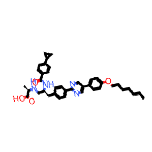 CCCCCCCOc1ccc(-c2cnc(-c3ccc(C[C@@H](CN[C@H](C)C(=O)O)NC(=O)c4ccc(C5CC5)cc4)cc3)nc2)cc1